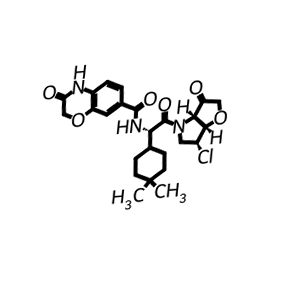 CC1(C)CCC([C@H](NC(=O)c2ccc3c(c2)OCC(=O)N3)C(=O)N2C[C@H](Cl)[C@H]3OCC(=O)[C@H]32)CC1